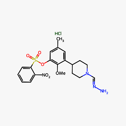 COc1c(OS(=O)(=O)c2ccccc2[N+](=O)[O-])cc(C)cc1C1CCN(C=NN)CC1.Cl